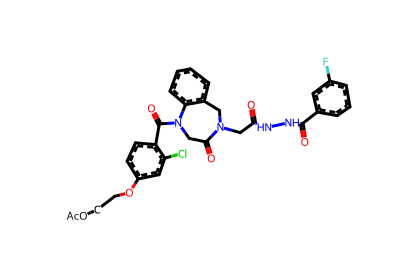 CC(=O)OCCOc1ccc(C(=O)N2CC(=O)N(CC(=O)NNC(=O)c3cccc(F)c3)Cc3ccccc32)c(Cl)c1